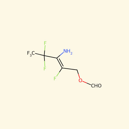 NC(=C(F)COC=O)C(F)(F)C(F)(F)F